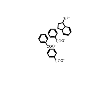 O=C([O-])c1ccccc1.O=C([O-])c1ccccc1.O=C([O-])c1ccccc1.[Zr+3][CH]1CCC2C=CC=CC12